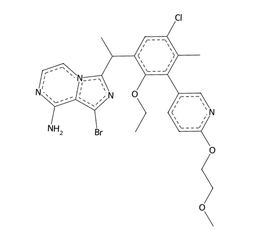 CCOc1c(C(C)c2nc(Br)c3c(N)nccn23)cc(Cl)c(C)c1-c1ccc(OCCOC)nc1